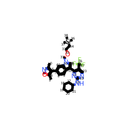 Cc1noc(C)c1-c1ccc2c(-c3nc(NC4CCCCC4)ncc3C(F)(F)F)cn(COCC[Si](C)(C)C)c2c1